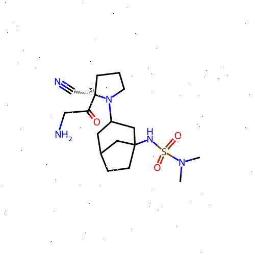 CN(C)S(=O)(=O)NC12CCC(CC(N3CCC[C@]3(C#N)C(=O)CN)C1)C2